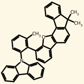 Cc1cccc(-n2c3ccccc3c3ccccc32)c1-c1cccc2c1oc1c3c(ccc12)C(C)(C)c1ccccc1-3